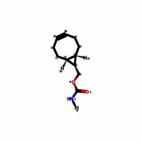 CCNC(=O)OC[C@@H]1[C@@H]2CCC#CCC[C@@H]21